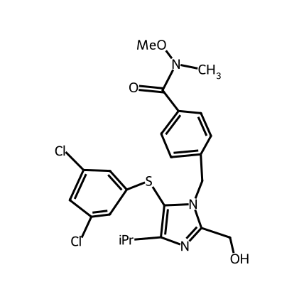 CON(C)C(=O)c1ccc(Cn2c(CO)nc(C(C)C)c2Sc2cc(Cl)cc(Cl)c2)cc1